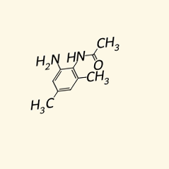 CC(=O)Nc1c(C)cc(C)cc1N